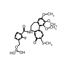 COc1cc2c(c(OC)c1OC)-c1ccc(SC)c(=O)cc1[C@@H](NC(=O)c1cccc(CON(O)O)c1F)CC2